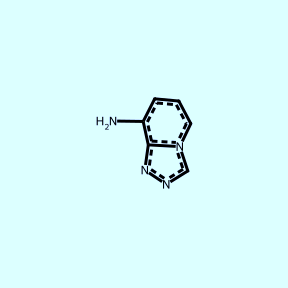 Nc1cccn2cnnc12